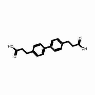 O=C(O)CCc1ccc(-c2ccc(CCC(=O)O)cc2)cc1